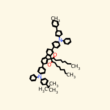 CCCCCCCC(=O)C1(C(=O)CCCCCCC)c2cc(-c3ccc(N(c4ccccc4)c4ccc(-c5ccc(C)cc5)cc4)cc3)ccc2-c2ccc(-c3ccc(N(c4ccccc4)c4ccc(C(C)(C)C)cc4)cc3)cc21